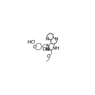 CCOCC(=O)Nc1cnc2cccnc2c1NCC1(O)CCOCC1.Cl